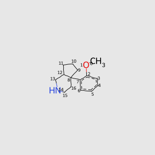 COc1ccccc1C12CCCC1CNCC2